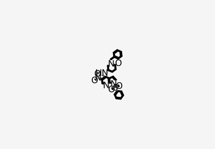 O=C1CCC(Nc2c([N+](=O)[O-])cnc3c2ccn3S(=O)(=O)c2ccccc2)CN1Cc1ccccc1